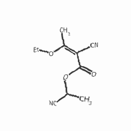 CCO/C(C)=C(/C#N)C(=O)OC(C)C#N